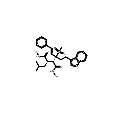 CC(C)C[C@@H](C(=O)NN)[C@@H](C(=O)NO)C(/C=C/c1ccccc1)(CCc1c[nH]c2ccccc12)S(C)(=O)=O